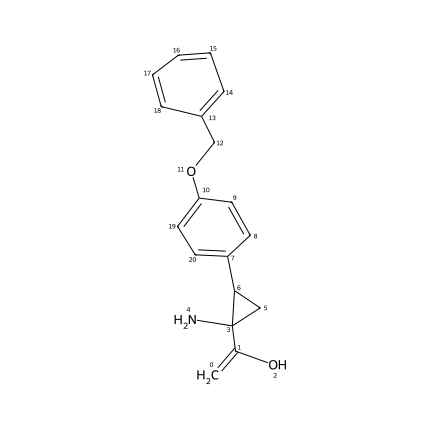 C=C(O)C1(N)CC1c1ccc(OCc2ccccc2)cc1